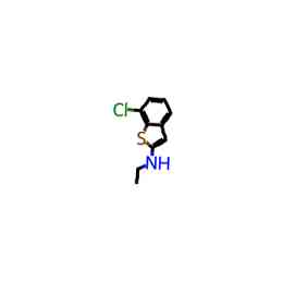 CCNc1cc2cccc(Cl)c2s1